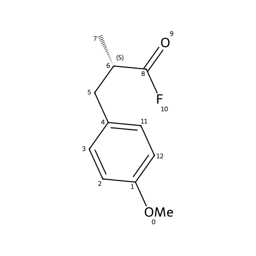 COc1ccc(C[C@H](C)C(=O)F)cc1